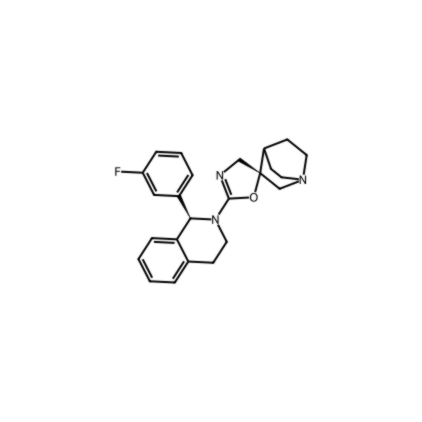 Fc1cccc([C@@H]2c3ccccc3CCN2C2=NC[C@@]3(CN4CCC3CC4)O2)c1